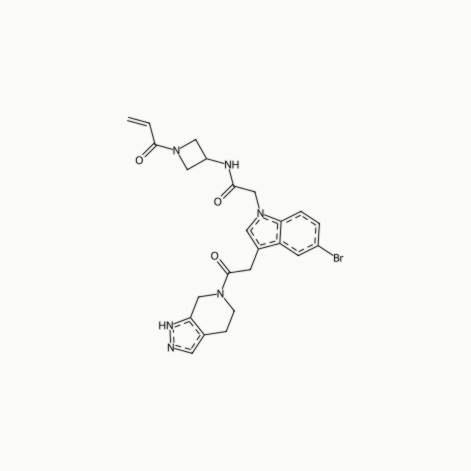 C=CC(=O)N1CC(NC(=O)Cn2cc(CC(=O)N3CCc4cn[nH]c4C3)c3cc(Br)ccc32)C1